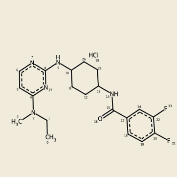 CCN(C)c1ccnc(NC2CCC(NC(=O)c3ccc(F)c(F)c3)CC2)n1.Cl